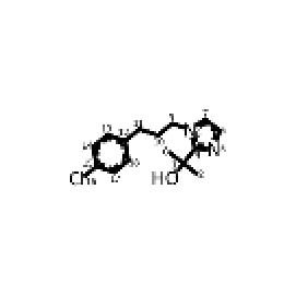 CC(C)(O)c1nccn1CCCc1ccc(Cl)cc1